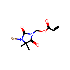 C=CC(=O)OCN1C(=O)N(Br)C(C)(C)C1=O